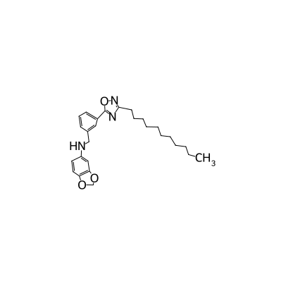 CCCCCCCCCCCc1noc(-c2cccc(CNc3ccc4c(c3)OCO4)c2)n1